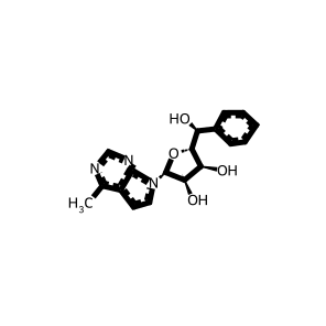 Cc1ncnc2c1ccn2[C@@H]1O[C@H]([C@@H](O)c2ccccc2)[C@@H](O)[C@H]1O